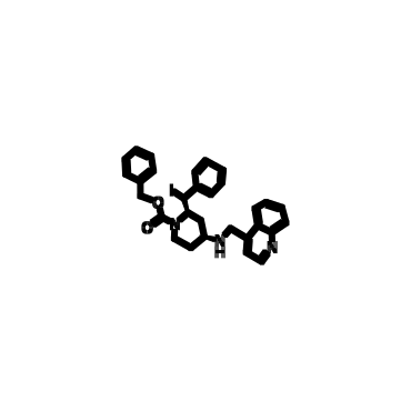 O=C(OCc1ccccc1)N1CC[C@H](NCc2ccnc3ccccc23)C[C@@H]1C(I)c1ccccc1